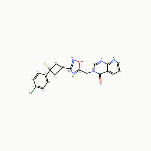 O=c1c2cccnc2ncn1Cc1nc(C2CC(F)(c3ccc(Cl)cc3)C2)no1